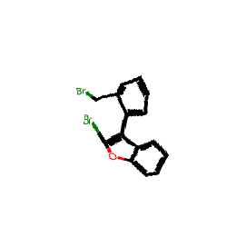 BrCc1ccccc1-c1c(Br)oc2ccccc12